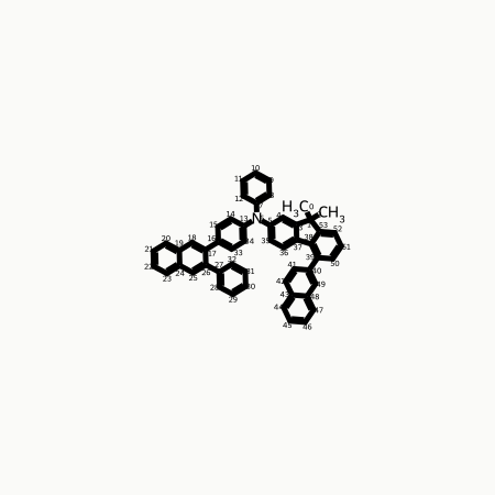 CC1(C)c2cc(N(c3ccccc3)c3ccc(-c4cc5ccccc5cc4-c4ccccc4)cc3)ccc2-c2c(-c3ccc4ccccc4c3)cccc21